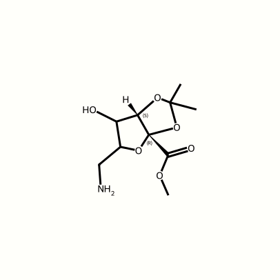 COC(=O)[C@@]12OC(CN)C(O)[C@@H]1OC(C)(C)O2